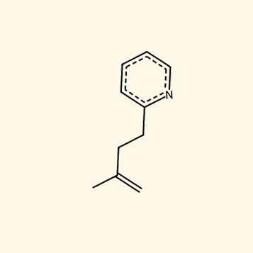 C=C(C)CCc1ccccn1